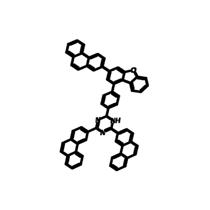 c1ccc2c(c1)ccc1cc(-c3cc(-c4ccc(C5N=C(c6ccc7ccc8ccccc8c7c6)N=C(c6ccc7ccc8ccccc8c7c6)N5)cc4)c4c(c3)oc3ccccc34)ccc12